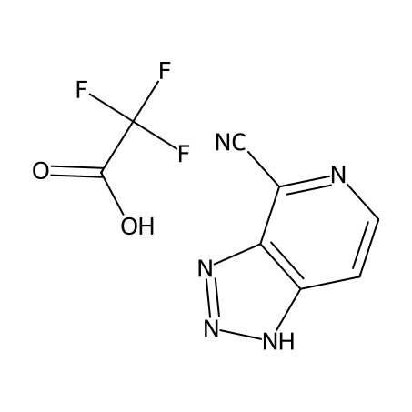 N#Cc1nccc2[nH]nnc12.O=C(O)C(F)(F)F